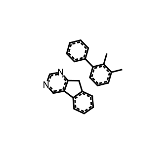 Cc1cccc(-c2ccccc2)c1C.c1ccc2c(c1)Cc1ncncc1-2